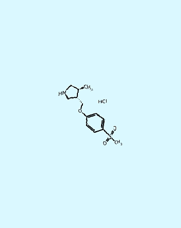 C[C@@H]1CNC[C@H]1COc1ccc(S(C)(=O)=O)cc1.Cl